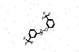 FC(F)(F)c1cccc([O][Zr][O]c2cccc(C(F)(F)F)c2)c1